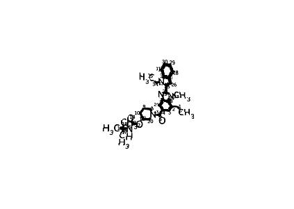 CCc1cc(C(=O)N2CCC[C@@H](OC(=O)NC(C)(C)C)C2)cc2nc(-c3cc4ccccc4n3CC)n(C)c12